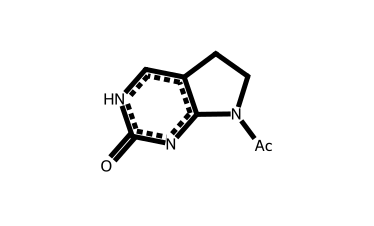 CC(=O)N1CCc2c[nH]c(=O)nc21